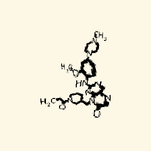 C=CC(=O)N1CCCC(Cn2c(=O)cnc3cnc(Nc4ccc(N5CCN(C)CC5)cc4OC)nc32)C1